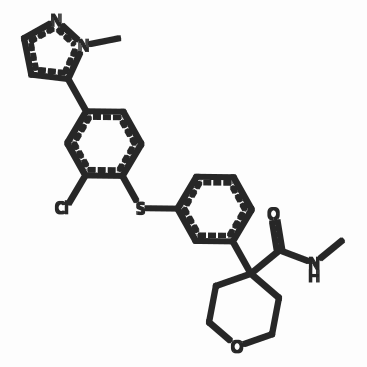 CNC(=O)C1(c2cccc(Sc3ccc(-c4ccnn4C)cc3Cl)c2)CCOCC1